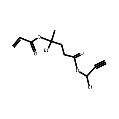 C#CC(CC)OC(=O)CCC(C)(CC)OC(=O)C=C